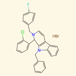 Br.Fc1ccc(CN2C=Cc3c(n(Cc4ccccc4)c4ccccc34)C2c2ccccc2Cl)cc1